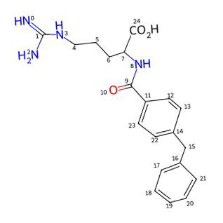 N=C(N)NCCCC(NC(=O)c1ccc(Cc2ccccc2)cc1)C(=O)O